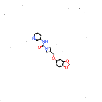 O=C(Nc1cccnc1)N1CC(COc2ccc3c(c2)OCO3)C1